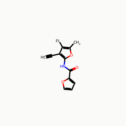 C#Cc1c(NC(=O)c2ccco2)oc(C)c1CC